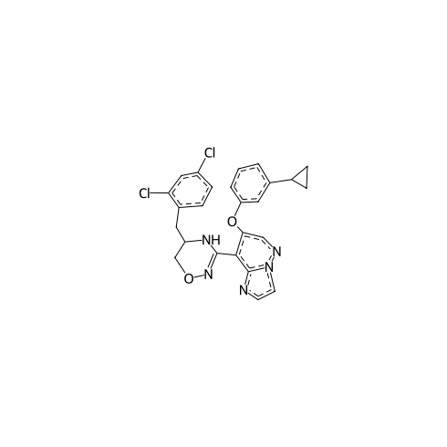 Clc1ccc(CC2CON=C(c3c(Oc4cccc(C5CC5)c4)cnn4ccnc34)N2)c(Cl)c1